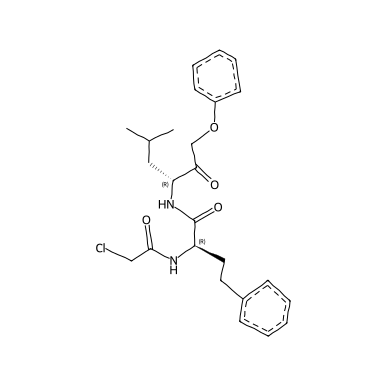 CC(C)C[C@@H](NC(=O)[C@@H](CCc1ccccc1)NC(=O)CCl)C(=O)COc1ccccc1